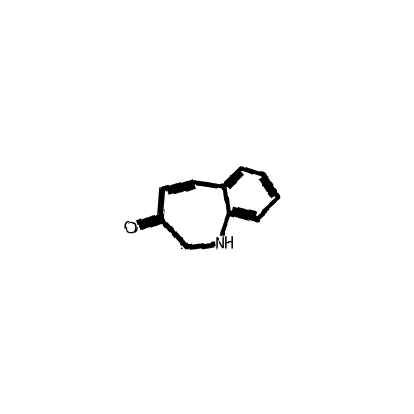 O=C1[C]Nc2ccccc2C=C1